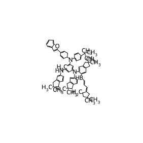 C=C1CC(C)(C)C/C1=C/C=C/Bc1cc2c(cc1N(C(/C=C/Nc1ccc3c(c1)CC(C)(C)C3)=C/C(=C)N(c1ccc(C(C)(C)C)cc1)C1C=CC(c3cc4ccccc4o3)=CC1)c1ccc3c(c1)CC(C)(C)C3)CC(C)(C)C2